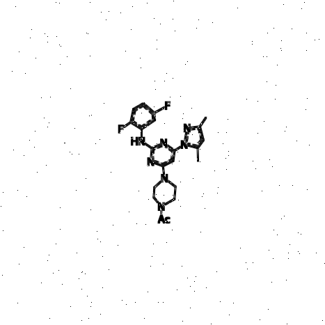 CC(=O)N1CCN(c2cc(-n3nc(C)cc3C)nc(Nc3cc(F)ccc3F)n2)CC1